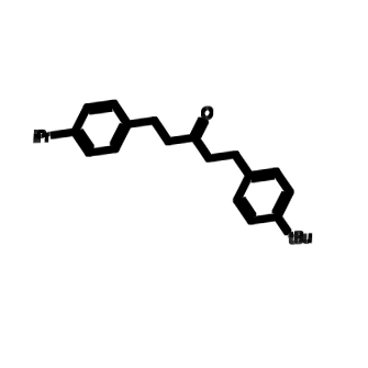 CC(C)c1ccc(CCC(=O)CCc2ccc(C(C)(C)C)cc2)cc1